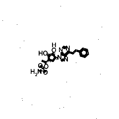 CC(OS(N)(=O)=O)[C@@H]1C[C@@H](n2cnc3c(CCc4ccccc4)ncnc32)[C@H](O)[C@@H]1O